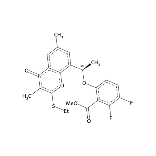 CCSc1oc2c([C@@H](C)Oc3ccc(F)c(F)c3C(=O)OC)cc(C)cc2c(=O)c1C